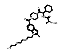 CNC(C)C(=O)NC(C(=O)N1CCN(C(=O)c2ccc3c(c2)cc(C)n3CCOCCOCCO)CC1)C1CCCCC1